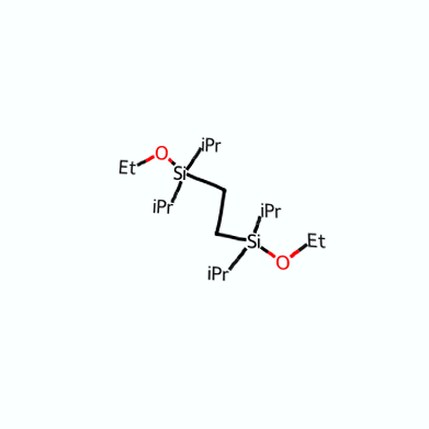 CCO[Si](CC[Si](OCC)(C(C)C)C(C)C)(C(C)C)C(C)C